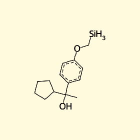 CC(O)(c1ccc(OC[SiH3])cc1)C1CCCC1